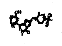 CC1CN(S(C)(=O)=O)CCN1Cc1cc2c(=O)n(C)cc(-c3cc(O)ncn3)c2s1